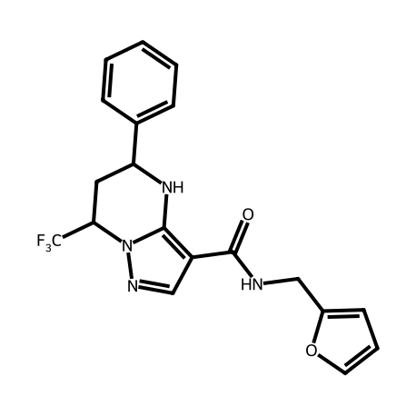 O=C(NCc1ccco1)c1cnn2c1NC(c1ccccc1)CC2C(F)(F)F